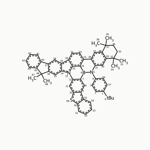 CC(C)(C)c1ccc(N2B3c4cc5c(cc4-n4c6cc7c(cc6c6ccc(c3c64)-c3cc4c(cc32)C(C)(C)CCC4(C)C)-c2ccccc2C7(C)C)sc2ccccc25)cc1